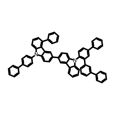 c1ccc(-c2ccc(-n3c4ccc(-c5ccc6c(c5)c5ccccc5n6-c5ccc(-c6ccccc6)cc5-c5cccc(-c6ccccc6)c5)cc4c4c(-c5ccccc5)cccc43)cc2)cc1